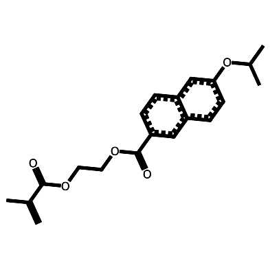 C=C(C)C(=O)OCCOC(=O)c1ccc2cc(OC(C)C)ccc2c1